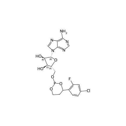 Nc1ncnc2c1ncn2[C@@H]1O[C@H](COP2OCCC(c3ccc(Cl)cc3F)O2)[C@@H](O)[C@H]1O